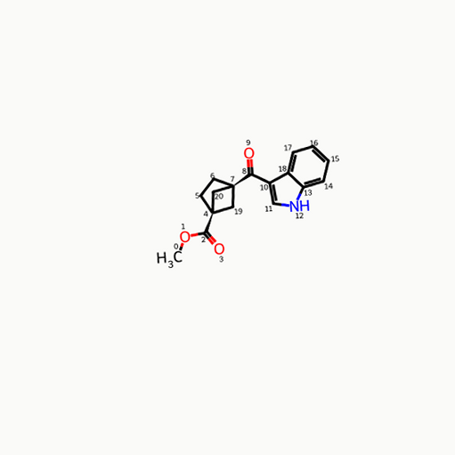 COC(=O)[C@]12CC[C@](C(=O)c3c[nH]c4ccccc34)(C1)C2